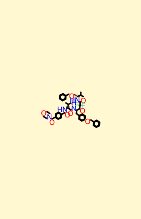 CC(C)[C@H](COCc1ccccc1)NC(=O)C(F)(F)C(=O)C(Cc1ccc(OCc2ccccc2)cc1)NC(=O)[C@@H](NC(=O)c1ccc(C(=O)N2CCOCC2)cc1)C(C)C